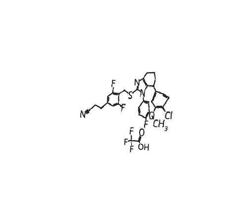 COc1cc(C2CCCc3nc(SCc4c(F)cc(CCC#N)cc4F)n(-c4ccc(F)cc4)c32)ccc1Cl.O=C(O)C(F)(F)F